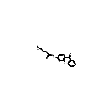 COCCOC(=O)COc1ccc(C(=O)c2ccccc2)c(O)c1